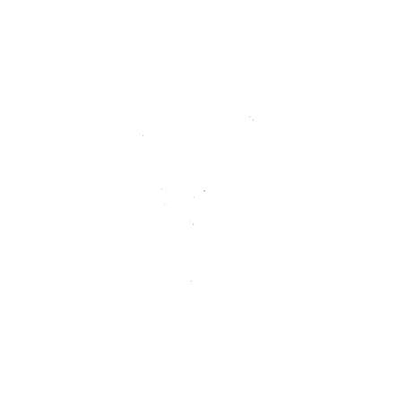 COC(=O)C1=C(C)N(c2cccc(C(F)(F)F)c2)c2n[nH]c(=O)n2[C@@H]1c1ccc(C#N)cc1CCCC[N+](C)(C)C.O=CO